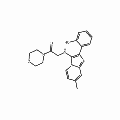 Cc1ccn2c(NCC(=O)N3CCOCC3)c(-c3ccccc3O)nc2c1